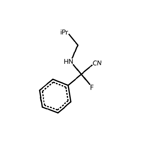 CC(C)CNC(F)(C#N)c1ccccc1